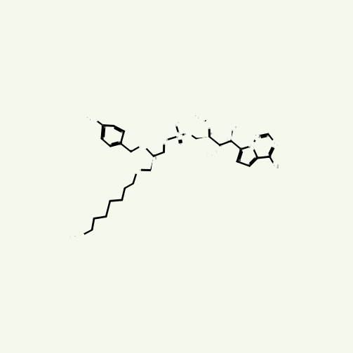 CCCCCCCCCCCCCCCCCOC[C@H](COP(=O)(O)OC[C@@H](OC#N)[C@@H](O)[C@@H](O)c1ccc2c(N)ncnn12)OCc1ccc(C#N)cc1